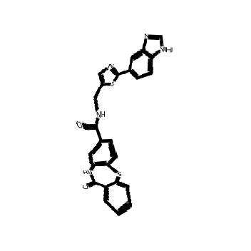 O=C(NCc1cnc(-c2ccc3[nH]cnc3c2)s1)c1ccc2c(c1)NC(=O)c1ccccc1S2